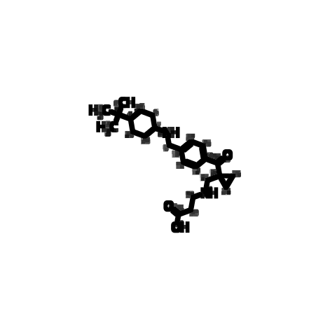 CC(C)(C)C1CCC(NCc2ccc(C(=O)C3(CNCCC(=O)O)CC3)cc2)CC1